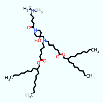 CCCCCCCCC(CCCCCCCC)COC(=O)CCCCCN(CCCCCC(=O)OCC(CCCCCCCC)CCCCCCCC)CC1(O)CCN(C(=O)CCCCN(C)C)CC1